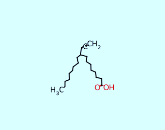 C=C=CC(CCCCCCCCC)CCCCCCCC(=O)O